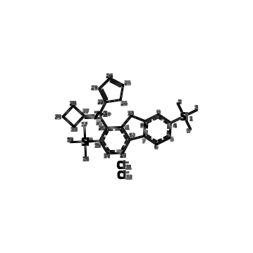 C[Si](C)(C)c1ccc2c(c1)Cc1c-2ccc([Si](C)(C)C)[c]1[Zr+2]([C]1=CC=CC1)=[C]1CCC1.[Cl-].[Cl-]